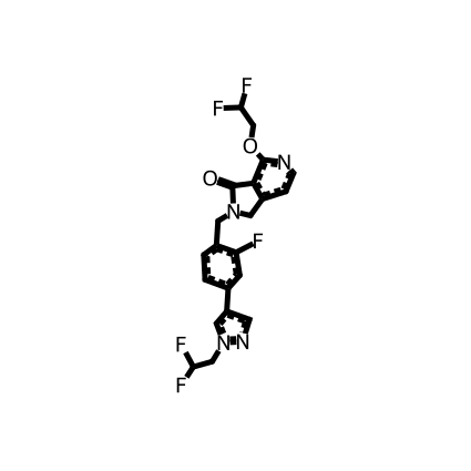 O=C1c2c(ccnc2OCC(F)F)CN1Cc1ccc(-c2cnn(CC(F)F)c2)cc1F